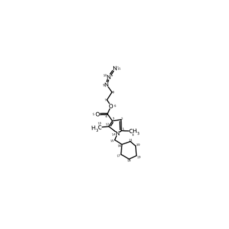 Cc1cc(C(=O)OCCN=[N+]=[N-])c(C)n1CC1CCCCC1